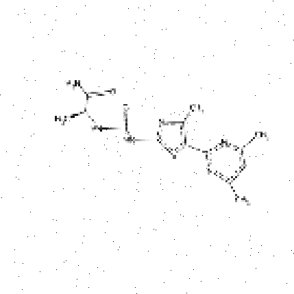 Cc1cc(C)nc(-c2sc(NC(=O)N[C@@H](C)C(N)=O)nc2C)n1